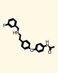 CC(=O)Nc1ccc(Oc2ccc(CCNCc3cccc(F)c3)cc2)cc1